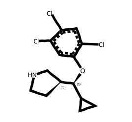 Clc1cc(Cl)c(O[C@@H](C2CC2)[C@H]2CCNC2)cc1Cl